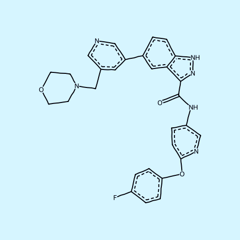 O=C(Nc1ccc(Oc2ccc(F)cc2)nc1)c1n[nH]c2ccc(-c3cncc(CN4CCOCC4)c3)cc12